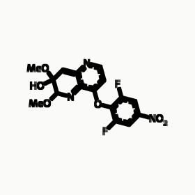 COC1N=c2c(Oc3c(F)cc([N+](=O)[O-])cc3F)ccnc2=CC1(O)OC